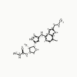 Cc1cnc(Nc2cc([C@@H]3OC[C@H](OC(=O)NC(C)C)[C@@H]3F)[nH]n2)n2cc(COC(F)(F)F)nc12